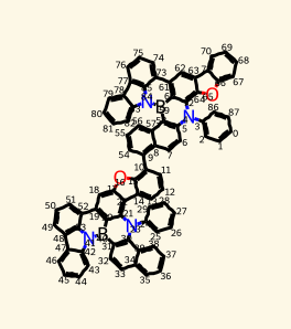 c1ccc(N2c3ccc4c(-c5cccc6c5oc5cc7c8c(c56)N(c5ccccc5)c5c(ccc6ccccc56)B8n5c6ccccc6c6cccc-7c65)cccc4c3B3c4c(cc5c(oc6ccccc65)c42)-c2cccc4c5ccccc5n3c24)cc1